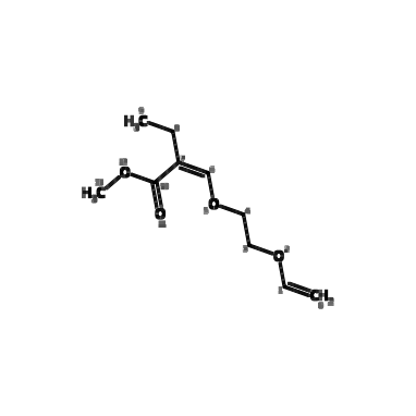 C=COCCOC=C(CC)C(=O)OC